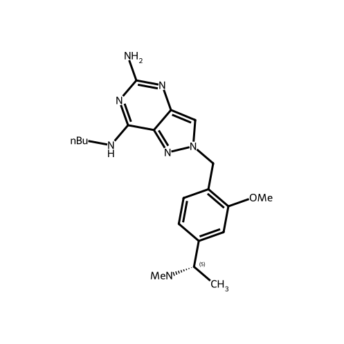 CCCCNc1nc(N)nc2cn(Cc3ccc([C@H](C)NC)cc3OC)nc12